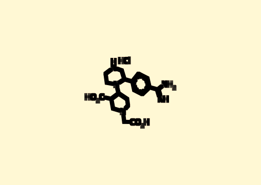 Cl.N=C(N)c1ccc(C2CNCCN2C2CCN(CC(=O)O)CC2C(=O)O)cc1